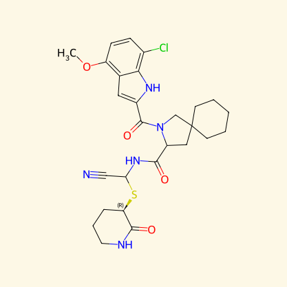 COc1ccc(Cl)c2[nH]c(C(=O)N3CC4(CCCCC4)CC3C(=O)NC(C#N)S[C@@H]3CCCNC3=O)cc12